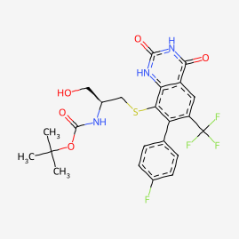 CC(C)(C)OC(=O)N[C@@H](CO)CSc1c(-c2ccc(F)cc2)c(C(F)(F)F)cc2c(=O)[nH]c(=O)[nH]c12